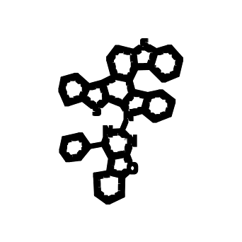 c1ccc(-c2nc(-n3c4ccccc4c4c5c(ccc6sc7ccccc7c65)c5c6ccccc6sc5c43)nc3oc4ccccc4c23)cc1